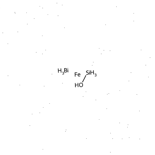 O[SiH3].[BiH3].[Fe]